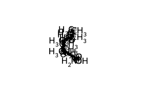 CC(C)(C)CC(C)(C)C(=O)NCCC(C)(C)OCCC(C)(C)C(=O)NCCCCC(N)C(=O)O